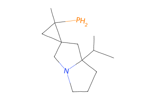 CC(C)C12CCCN1CC1(C2)CC1(C)P